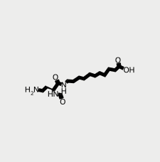 NCC[C@H](NC=O)C(=O)NCCCCCCCCCCC(=O)O